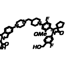 COc1cc(N2CCC(CN3CCN(c4ccc5c(c4)CN([C@H]4CCC(=O)NC4=O)C5=O)CC3)CC2)c(F)cc1[C@@H]1N(c2ccc(CO)c(F)c2)C(=O)C12CCCC2